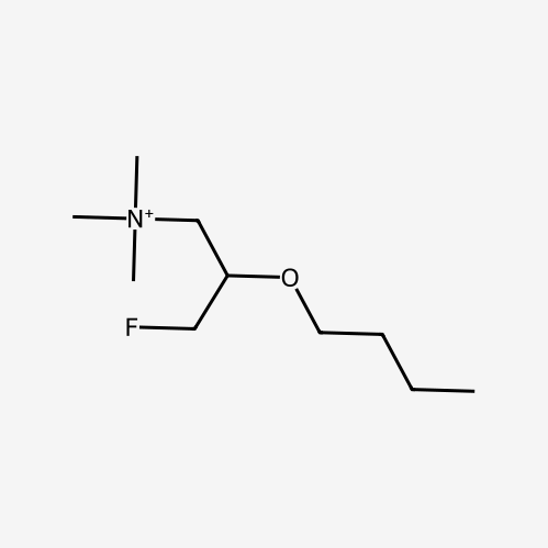 CCCCOC(CF)C[N+](C)(C)C